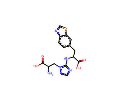 NC(Cn1ncnc1NC(Cc1ccc2ncsc2c1)C(=O)O)C(=O)O